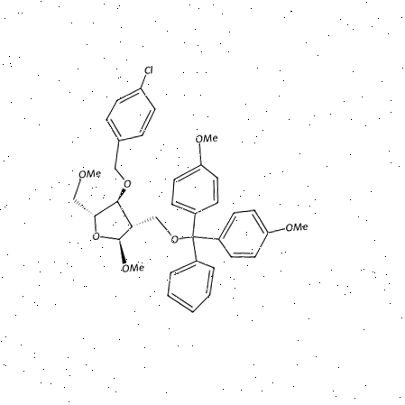 COC[C@H]1O[C@H](OC)[C@@H](COC(c2ccccc2)(c2ccc(OC)cc2)c2ccc(OC)cc2)[C@@H]1OCc1ccc(Cl)cc1